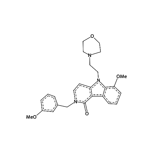 COc1cccc(Cn2ccc3c(c2=O)c2cccc(OC)c2n3CCN2CCOCC2)c1